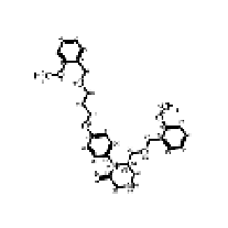 COc1ccccc1COCCCOc1ccc(N2C(=O)CNC[C@@H]2COCc2ccccc2OC)cc1